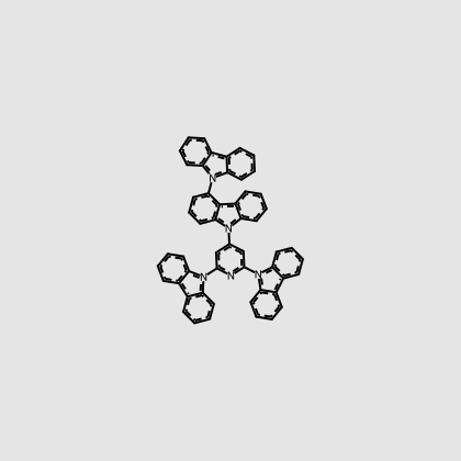 c1ccc2c(c1)c1ccccc1n2-c1cc(-n2c3ccccc3c3c(-n4c5ccccc5c5ccccc54)cccc32)cc(-n2c3ccccc3c3ccccc32)n1